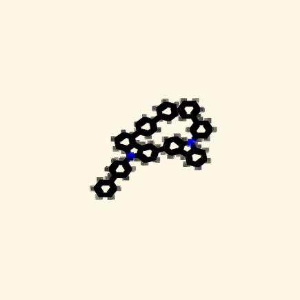 c1ccc(-c2ccc(-c3cccc4c3c3cc(-c5ccc6c(c5)c5ccccc5n6-c5cccc(-c6ccccc6)c5)ccc3n4-c3ccc(-c4ccccc4)cc3)cc2)cc1